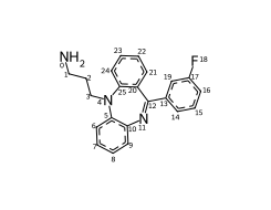 NCCCN1c2ccccc2N=C(c2cccc(F)c2)c2ccccc21